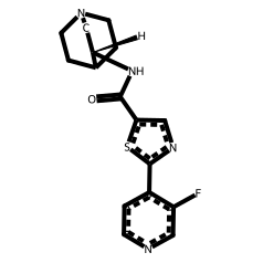 O=C(N[C@H]1CN2CCC1CC2)c1cnc(-c2ccncc2F)s1